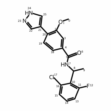 COc1cc(C(=O)NC(C)c2c(F)cccc2Cl)ccc1-c1cn[nH]c1